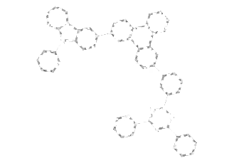 c1ccc(-c2nc(-c3ccccc3)nc(-c3cccc(-c4ccc5c(c4)c4ccccc4c4ccc(-c6ccc7c(c6)c6ccccc6n7-c6ccccc6)cc45)c3)n2)cc1